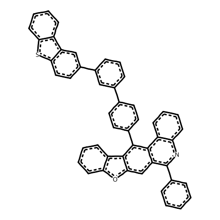 c1ccc(-c2nc3ccccc3c3c(-c4ccc(-c5cccc(-c6ccc7sc8ccccc8c7c6)c5)cc4)c4c(cc23)oc2ccccc24)cc1